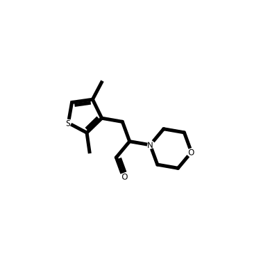 Cc1csc(C)c1CC(C=O)N1CCOCC1